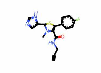 C#CCNC(=O)C1=C(c2ccc(F)cc2)SC(c2cnc[nH]2)N1C